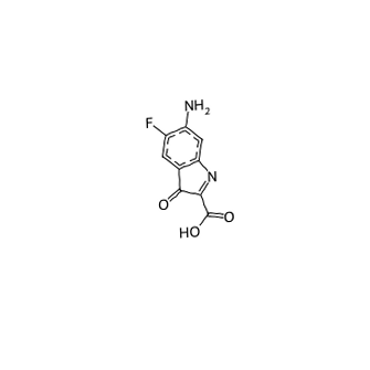 Nc1cc2c(cc1F)C(=O)C(C(=O)O)=N2